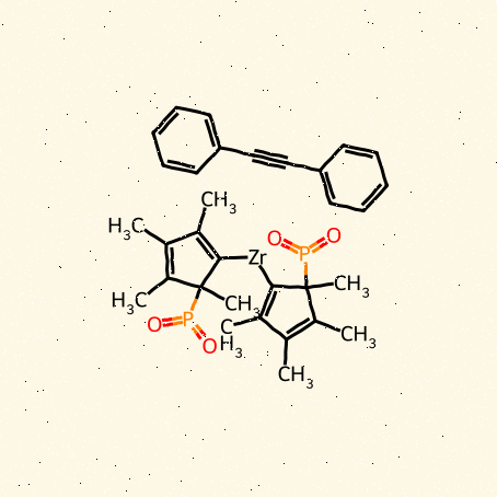 C(#Cc1ccccc1)c1ccccc1.CC1=C(C)C(C)(P(=O)=O)[C]([Zr][C]2=C(C)C(C)=C(C)C2(C)P(=O)=O)=C1C